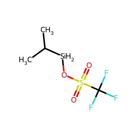 CC(C)[SiH2]OS(=O)(=O)C(F)(F)F